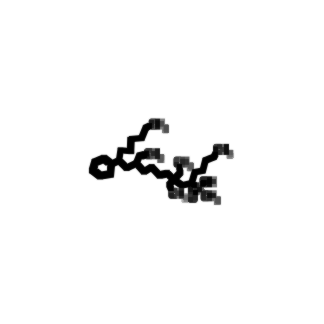 C=CC(CC/C=C/C(CC)(CC)CC(CCCCC)[Si](C)(O)O)CC(C/C=C/CCC)c1ccccc1